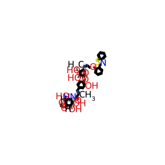 C/C(=C/COc1ccccc1-c1nc2ccccc2s1)[C@H]1O[C@@H](Oc2ccc(/C=C(\C)C(=O)N[C@@H]3[C@H](O)[C@@H](O)[C@H]4OCO[C@H]4[C@@H]3O)cc2O)[C@@H](O)[C@@H]1O